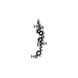 O=C(CCCN1CCC(O)CC1)Nc1cc(Oc2ccc3c(ccn3C(=O)NCCF)c2)ccn1